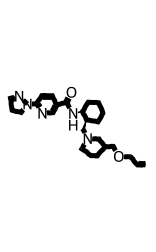 C=CCOCC1CCCN(C[C@@H]2CCCC[C@H]2NC(=O)c2ccc(N3CCC=N3)nc2)C1